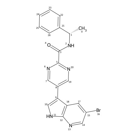 C[C@H](NC(=O)c1ncc(-c2c[nH]c3ncc(Br)cc23)cn1)c1ccccc1